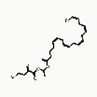 CC/C=C\C/C=C\C/C=C\C/C=C\C/C=C\CCCC(=O)OC(C)OC(=O)C(=O)CCC(C)=O